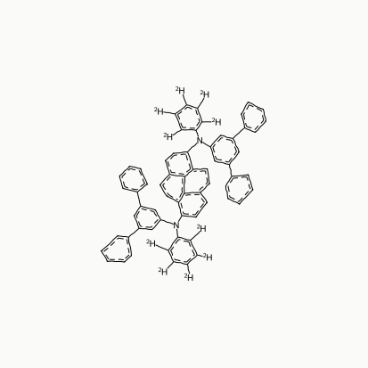 [2H]c1c([2H])c([2H])c(N(c2cc(-c3ccccc3)cc(-c3ccccc3)c2)c2ccc3ccc4c(N(c5cc(-c6ccccc6)cc(-c6ccccc6)c5)c5c([2H])c([2H])c([2H])c([2H])c5[2H])ccc5ccc2c3c54)c([2H])c1[2H]